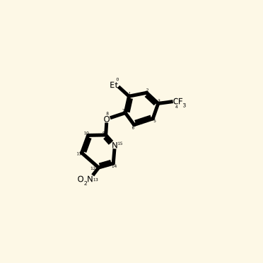 CCc1cc(C(F)(F)F)ccc1Oc1ccc([N+](=O)[O-])cn1